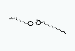 C=CCCCCCCCCCOc1ccc(-c2ccc(CCCCCOCCC)cc2)nc1